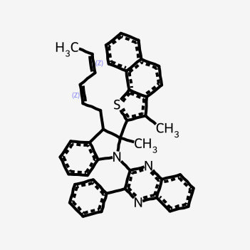 C/C=C\C=C/CC1c2ccccc2N(c2nc3ccccc3nc2-c2ccccc2)C1(C)c1sc2c(ccc3ccccc32)c1C